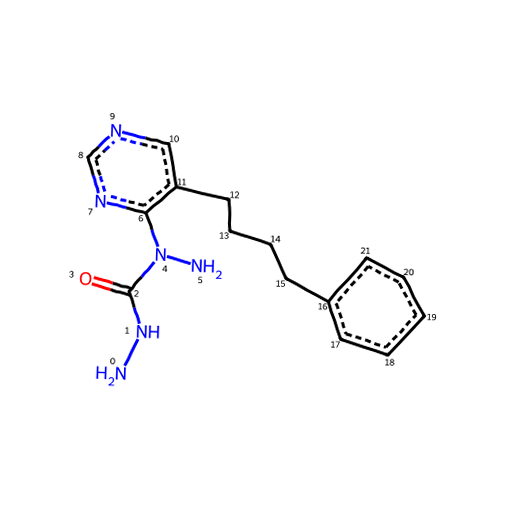 NNC(=O)N(N)c1ncncc1CCCCc1ccccc1